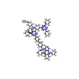 CC(C)(C)c1ccc2c(c1)c1ccccc1n2-c1ccc(-c2nc(-c3ccccc3)nc(-c3ccccc3)n2)cc1-c1cc(-c2ccccc2)nc(-c2ccc(-c3ccc(N4c5ccccc5B5c6ccccc6N(c6ccccc6)c6cccc4c65)cc3)cc2)n1